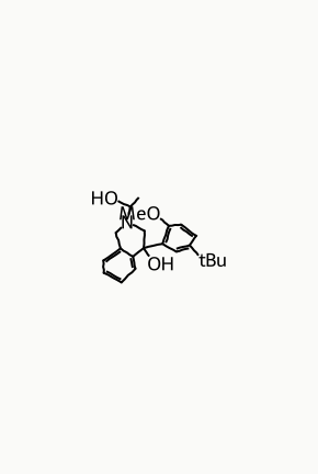 COc1ccc(C(C)(C)C)cc1C1(O)CN(C(C)O)Cc2ccccc21